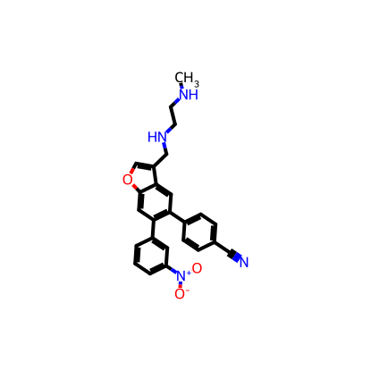 CNCCNCc1coc2cc(-c3cccc([N+](=O)[O-])c3)c(-c3ccc(C#N)cc3)cc12